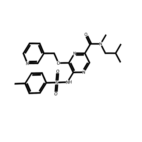 Cc1ccc(S(=O)(=O)Nc2ncc(C(=O)N(C)CC(C)C)nc2OCc2cccnc2)cc1